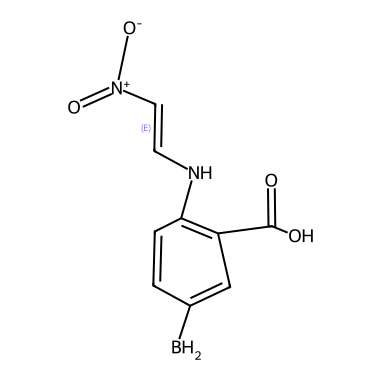 Bc1ccc(N/C=C/[N+](=O)[O-])c(C(=O)O)c1